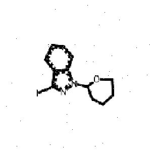 Ic1nn(C2CCCCO2)c2ccccc12